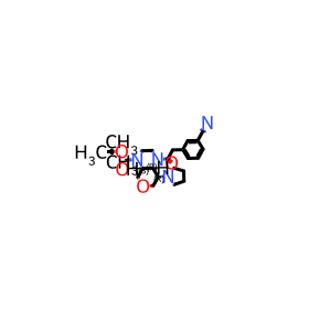 CC(C)(C)OC(=O)N1CCN(C(=O)Cc2cccc(C#N)c2)[C@H]2[C@H]1COC[C@@H]2N1CCCC1